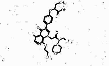 CCCOc1ccc(F)c2c(=O)c(-c3ccc(OC(CC)C(=O)O)cc3)cn(CC(=O)N(CC)N3CCOCC3)c12